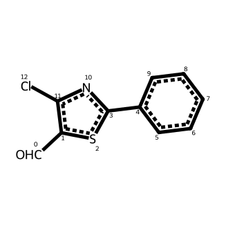 O=Cc1sc(-c2ccccc2)nc1Cl